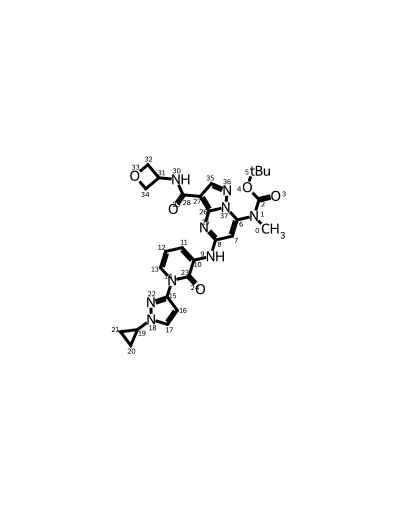 CN(C(=O)OC(C)(C)C)c1cc(Nc2cccn(-c3ccn(C4CC4)n3)c2=O)nc2c(C(=O)NC3COC3)cnn12